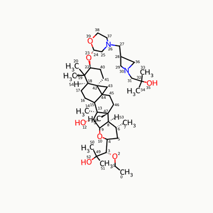 CCO[C@@H](C1C[C@@H](C)[C@H]2C(O1)[C@H](O)[C@@]1(C)C3CC[C@H]4C(C)(C)[C@@H](O[C@H]5CN(CC6CN(CC(C)(C)O)C6)CCO5)CC[C@@]45CC35CC[C@]21C)C(C)(C)O